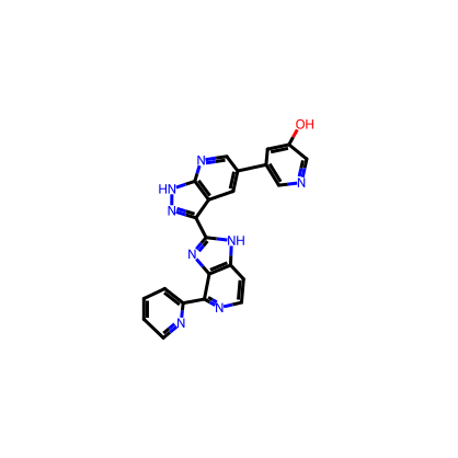 Oc1cncc(-c2cnc3[nH]nc(-c4nc5c(-c6ccccn6)nccc5[nH]4)c3c2)c1